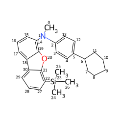 CN(c1ccc(C2CCCCC2)cc1)c1cccc2c1oc1c([Si](C)(C)C)cccc12